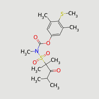 CSc1c(C)cc(OC(=O)N(C)S(=O)(=O)C(C)(C)C(=O)C(C)C)cc1C